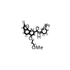 COCCCOc1cc(C(=O)N[C@@H]2CCCN(C(C)C)C2)nc2c1ccc1cc(C)oc12